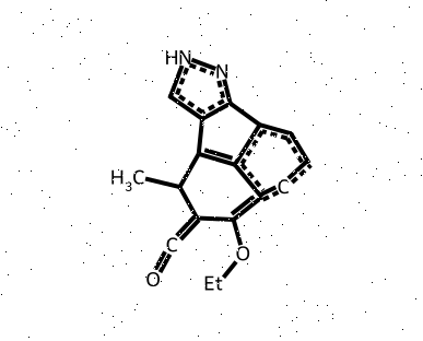 CCOC1=c2cccc3c2=C(c2c[nH]nc2-3)C(C)C1=C=O